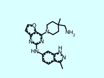 Cc1n[nH]c2cc(Nc3nc(N4CCC(C)(CN)CC4)c4occc4n3)ccc12